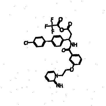 N=c1ccccn1CCOc1cccc(C(=O)NC(CC(=O)OC(=O)C(F)(F)F)c2ccc(-c3ccc(Cl)cc3)cc2)c1